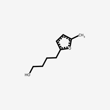 Cc1ccc(CCCCO)o1